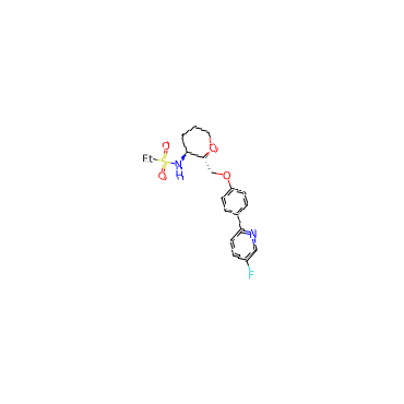 CCS(=O)(=O)N[C@H]1CCCO[C@@H]1COc1ccc(-c2ccc(F)cn2)cc1